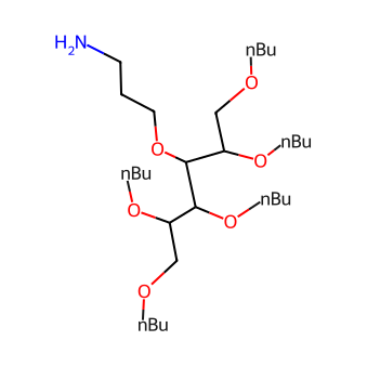 CCCCOCC(OCCCC)C(OCCCC)C(OCCCN)C(COCCCC)OCCCC